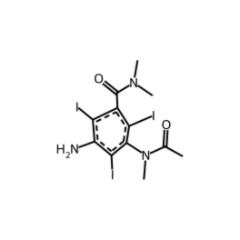 CC(=O)N(C)c1c(I)c(N)c(I)c(C(=O)N(C)C)c1I